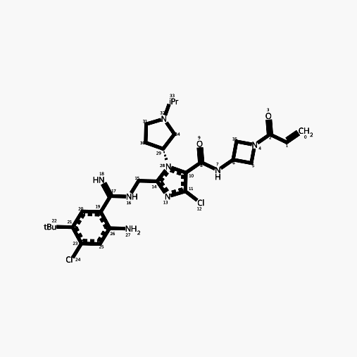 C=CC(=O)N1CC(NC(=O)c2c(Cl)nc(CNC(=N)c3cc(C(C)(C)C)c(Cl)cc3N)n2[C@@H]2CCN(C(C)C)C2)C1